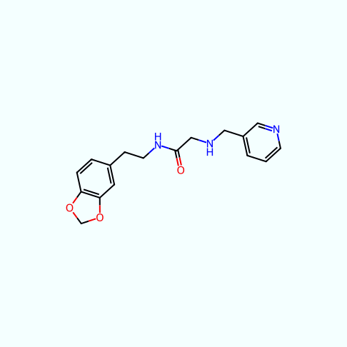 O=C(CNCc1cccnc1)NCCc1ccc2c(c1)OCO2